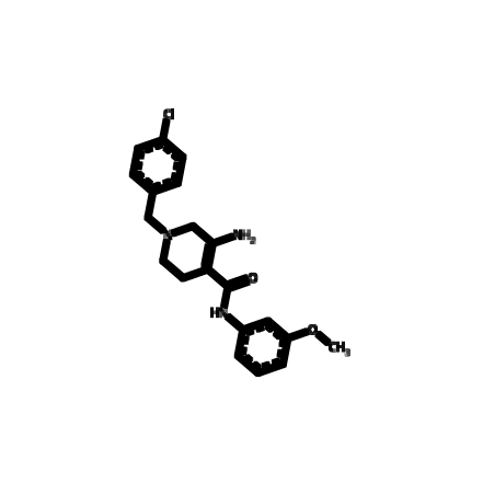 COc1cccc(NC(=O)C2=C(N)CN(Cc3ccc(Cl)cc3)CC2)c1